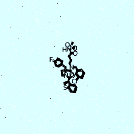 CS(=O)(=O)NC(=O)CCCN(Cc1cccc(Cl)c1)C(=O)C1(Cc2ccc(F)cc2)CCN1C(=O)c1csc2ccccc12